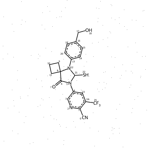 N#Cc1ncc(N2C(=O)C3(CCC3)N(c3ccc(CO)cc3)C2S)cc1C(F)(F)F